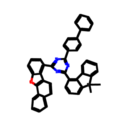 C[Si]1(C)c2ccccc2-c2c(-c3nc(-c4ccc(-c5ccccc5)cc4)nc(-c4cccc5oc6c7ccccc7ccc6c45)n3)cccc21